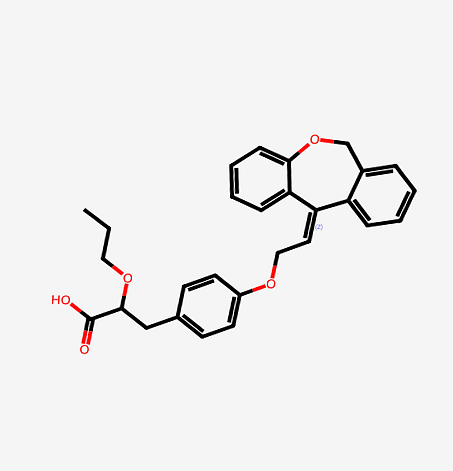 CCCOC(Cc1ccc(OC/C=C2/c3ccccc3COc3ccccc32)cc1)C(=O)O